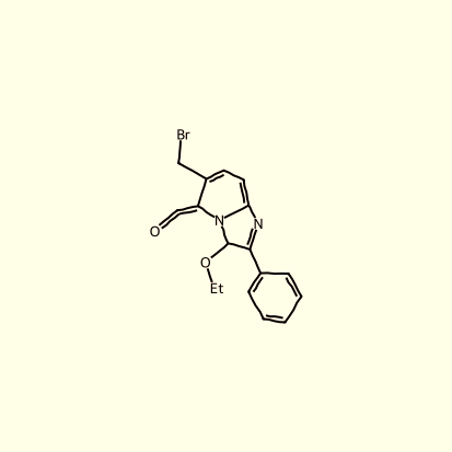 CCOC1C(c2ccccc2)=NC2=CC=C(CBr)C(=C=O)N21